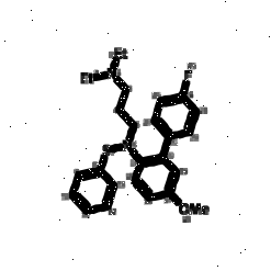 CCN(CC)CCCN(Sc1ccccc1)c1ccc(OC)cc1-c1ccc(F)cc1